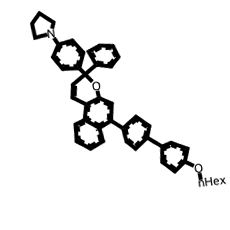 CCCCCCOc1ccc(-c2ccc(-c3cc4c(c5ccccc35)C=CC(c3ccccc3)(c3ccc(N5CCCC5)cc3)O4)cc2)cc1